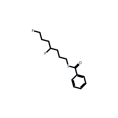 O=C(SCCCC(F)CCCF)c1ccccc1